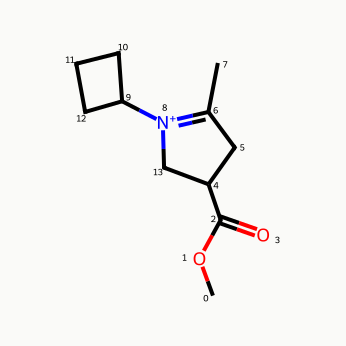 COC(=O)C1CC(C)=[N+](C2CCC2)C1